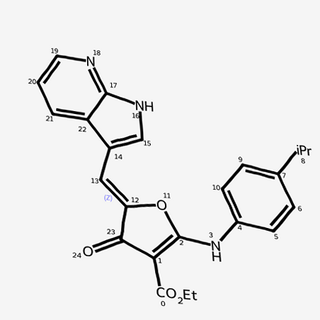 CCOC(=O)C1=C(Nc2ccc(C(C)C)cc2)O/C(=C\c2c[nH]c3ncccc23)C1=O